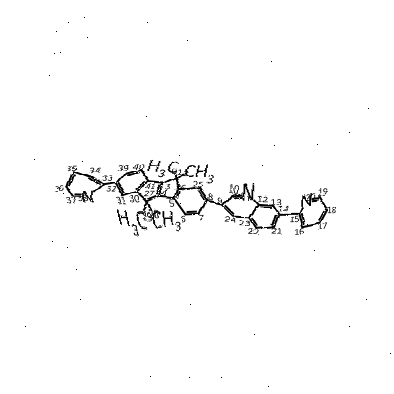 CC1(C)C2=C(c3ccc(-c4cnc5cc(-c6ccccn6)ccc5c4)cc31)C(C)(C)c1cc(-c3ccccn3)ccc12